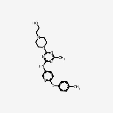 Cc1ccc(Oc2ccc(Nc3nc(C)nc(N4CCN(CCO)CC4)n3)cn2)cc1